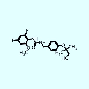 COc1cc(F)cc(F)c1NC(=O)NCc1ccc(OC(C)(C)CO)cc1